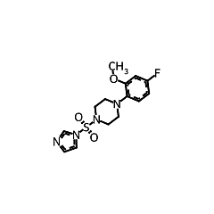 COc1cc(F)ccc1N1CCN(S(=O)(=O)n2ccnc2)CC1